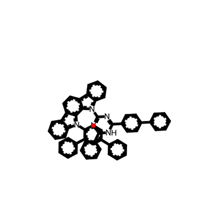 c1ccc(-c2ccc(C3=NC(n4c5ccccc5c5ccc6c7ccccc7n(-c7ccc(-c8ccccc8)cc7-c7ccccc7)c6c54)=NC(c4ccccc4)N3)cc2)cc1